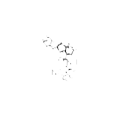 N#CC1CSCN1C(=O)CNC(=O)c1ccnc2ccc(CC3CCOCC3)cc12